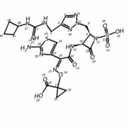 N=C(NCc1cnn(C[C@@H]2[C@H](NC(=O)/C(=N\OC3(C(=O)O)CC3)c3csc(N)n3)C(=O)N2S(=O)(=O)O)n1)NC1CCC1